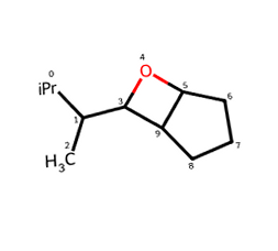 CC(C)C(C)C1OC2CCCC21